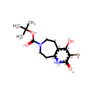 CC(C)(C)OC(=O)N1CCc2[nH]c(=O)c(Br)c(O)c2CC1